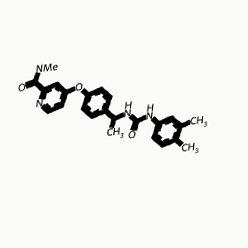 CNC(=O)c1cc(Oc2ccc(C(C)NC(=O)Nc3ccc(C)c(C)c3)cc2)ccn1